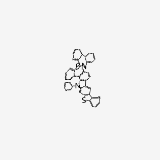 c1ccc(-n2c3cc4sc5ccccc5c4cc3c3ccc4c(c32)-c2ccccc2B2c3ccccc3-c3ccccc3N24)cc1